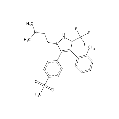 Cc1ccccc1C1=C(c2ccc(S(C)(=O)=O)cc2)N(CCN(C)C)NC1C(F)(F)F